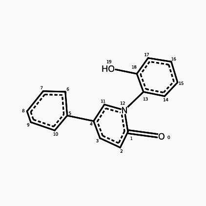 O=c1ccc(-c2ccccc2)cn1-c1ccccc1O